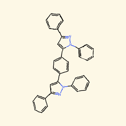 c1ccc(-c2cc(-c3ccc(-c4cc(-c5ccccc5)nn4-c4ccccc4)cc3)n(-c3ccccc3)n2)cc1